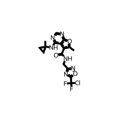 Cc1oc2ncnc(NC3(C)CC3)c2c1C(=O)NCc1noc(C(F)(F)Cl)n1